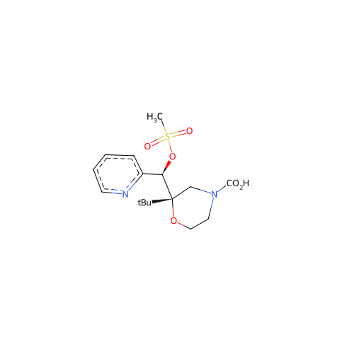 CC(C)(C)[C@@]1([C@H](OS(C)(=O)=O)c2ccccn2)CN(C(=O)O)CCO1